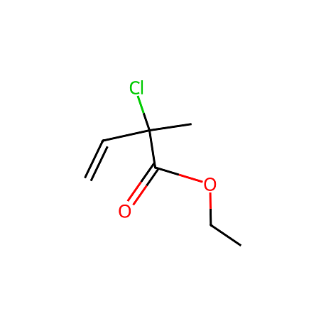 C=CC(C)(Cl)C(=O)OCC